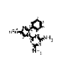 CCCCc1cn(-c2nc(N)nc(N)n2)c(-c2ccccc2)n1